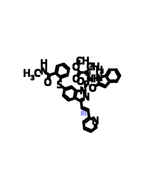 CNC(=O)c1ccccc1Sc1ccc2c(/C=C/c3ccccn3)nn(P(=O)(N[C@@H](C)C(=O)OC)Oc3cc4ccccc4[nH]3)c2c1